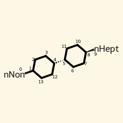 CCCCCCCCCC1CCC([C@H]2CC[C@H](CCCCCCC)CC2)CC1